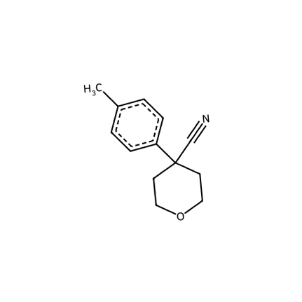 Cc1ccc(C2(C#N)CCOCC2)cc1